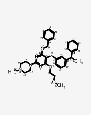 COCCOc1nc(N2CCN(C)CC2)nc(OCc2ccccc2)c1Sc1cccc(C(C)c2ccccc2)c1